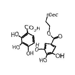 CCCCCCCCCCCCOC(=O)c1cc(O)c(O)c(O)c1.O=C(O)c1ccc(O)c(O)c1O